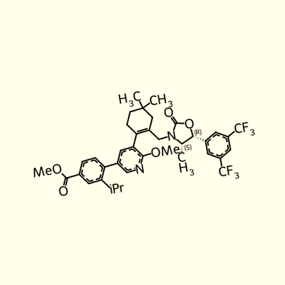 COC(=O)c1ccc(-c2cnc(OC)c(C3=C(CN4C(=O)O[C@H](c5cc(C(F)(F)F)cc(C(F)(F)F)c5)[C@@H]4C)CC(C)(C)CC3)c2)c(C(C)C)c1